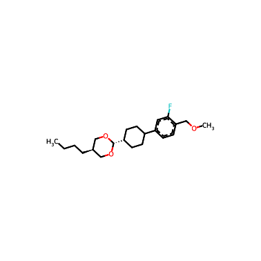 CCCC[C@H]1CO[C@H](C2CCC(c3ccc(COC)c(F)c3)CC2)OC1